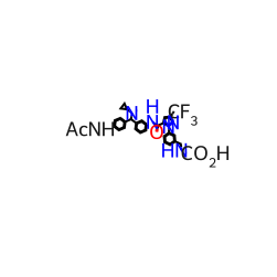 CC(=O)Nc1ccc(C(c2cccc(NC(=O)c3cc(C(F)(F)F)nn3-c3cccc(CNC(=O)O)c3)c2)N(C)C2CC2)cc1